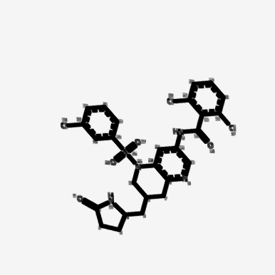 O=C1CCC(CC2Cc3ncc(NC(=O)c4c(Cl)cccc4Cl)cc3N(S(=O)(=O)c3cccc(Cl)c3)C2)N1